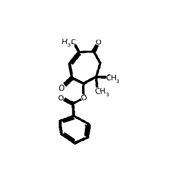 CC1=CC(=O)C(OC(=O)c2ccccc2)C(C)(C)CC1=O